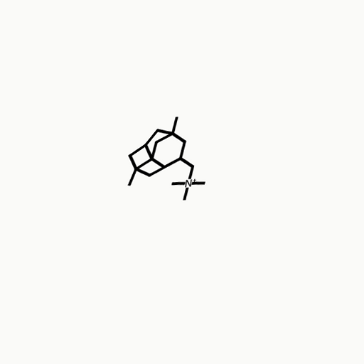 CC12CC3CC4(C)CC(C[N+](C)(C)C)(C1)CC34C2